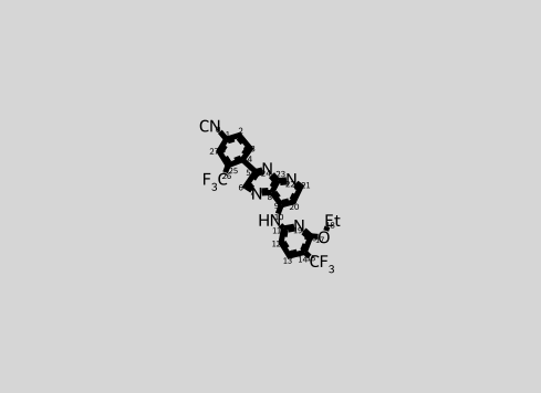 [C-]#[N+]c1ccc(-c2cnc3c(Nc4ccc(C(F)(F)F)c(OCC)n4)ccnc3n2)c(C(F)(F)F)c1